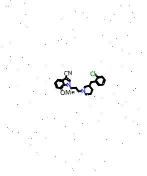 COc1cccc2c(C#N)cn(CCCN3CCCC(Cc4ccccc4Cl)C3)c12